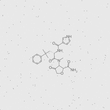 CN(C(=O)[C@H](CC(C)(C)c1ccccc1)NC(=O)c1cc[nH]c1)C1C(=O)COC1C(N)=O